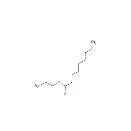 CCCCCCCCC([O])OCCC